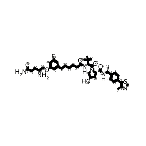 Cc1ncsc1-c1ccc([C@H](C)NC(=O)[C@@H]2C[C@@H](O)CN2C(=O)[C@@H](NC(=O)CCCCCc2cc(F)cc(OC[C@@H](N)CCC(N)=O)c2)C(C)(C)C)cc1